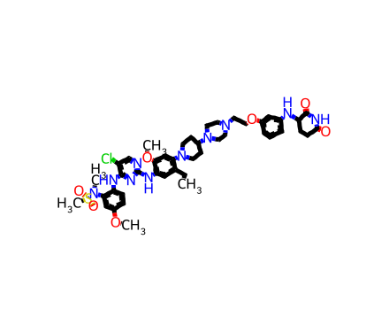 CCc1cc(Nc2ncc(Cl)c(Nc3ccc(OC)cc3N(C)S(C)(=O)=O)n2)c(OC)cc1N1CCC(N2CCN(CCOc3cccc(NC4CCC(=O)NC4=O)c3)CC2)CC1